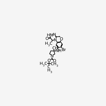 CC1C(=O)NN=C2COc3cc(Br)c(NC4(C)CCN(C(=O)OC(C)(C)C)C4)cc3N21